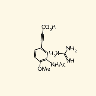 COc1ccc(C#CC(=O)O)cc1NC(C)=O.N=C(N)N